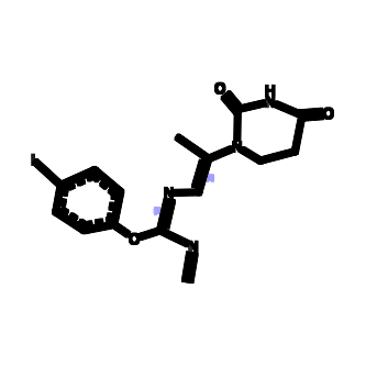 C=N/C(=N\C=C(/C)N1CCC(=O)NC1=O)Oc1ccc(I)cc1